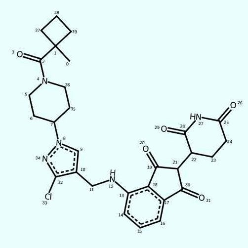 CC1(C(=O)N2CCC(n3cc(CNc4cccc5c4C(=O)C(C4CCC(=O)NC4=O)C5=O)c(Cl)n3)CC2)CCC1